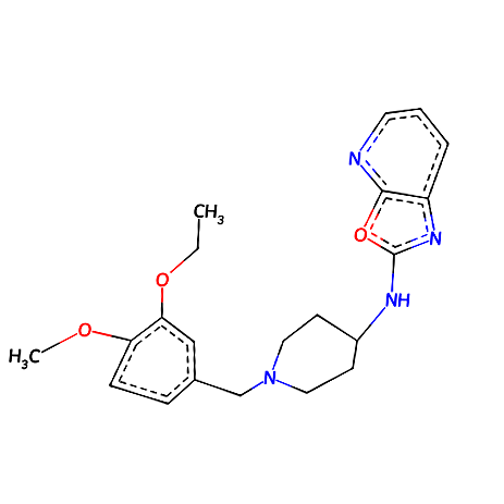 CCOc1cc(CN2CCC(Nc3nc4cccnc4o3)CC2)ccc1OC